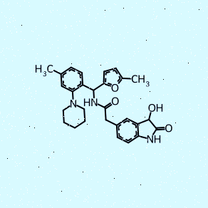 Cc1ccc(C(NC(=O)Cc2ccc3c(c2)C(O)C(=O)N3)c2ccc(C)o2)c(N2CCCCC2)c1